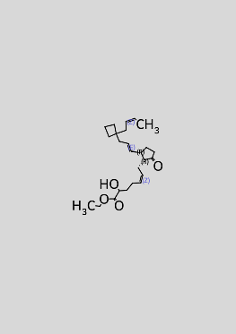 C/C=C\CC1(C/C=C/[C@H]2CCC(=O)[C@@H]2C/C=C\CCC(O)C(=O)OCC)CCC1